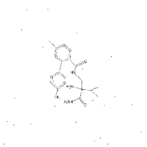 CC(=O)NC(=O)C(N)(CNC(=O)c1ccc(C)cc1-c1ccc(C(F)(F)F)cc1)C1CC1